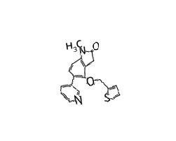 CN1C(=O)Cc2c1ccc(-c1cccnc1)c2OCc1cccs1